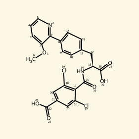 COc1cccnc1-c1ccc(C[C@H](NC(=O)c2c(Cl)cc(C(=O)O)cc2Cl)C(=O)O)cc1